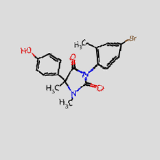 Cc1cc(Br)ccc1N1C(=O)N(C)C(C)(c2ccc(O)cc2)C1=O